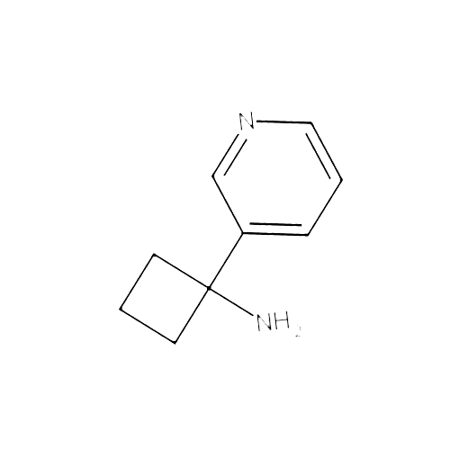 NC1(c2cccnc2)CCC1